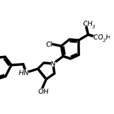 CC(C(=O)O)c1ccc(N2CC(O)C(NCc3ccccc3)C2)c(Cl)c1